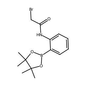 CC1(C)OB(c2ccccc2NC(=O)CBr)OC1(C)C